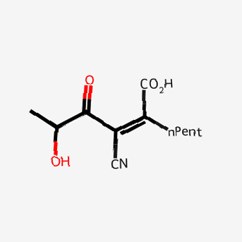 CCCCC/C(C(=O)O)=C(\C#N)C(=O)C(C)O